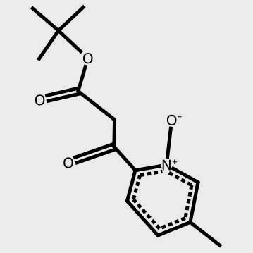 Cc1ccc(C(=O)CC(=O)OC(C)(C)C)[n+]([O-])c1